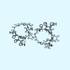 O=C1NCCC(C2CCC3(C2)Cn2cc(O)c(=O)c(n2)C(=O)NCC/C=C/COc2ccnc4c2ccn43)CCOc2ccnc3c2ccn3C2(CCCC2)Cn2cc(O)c(=O)c1n2